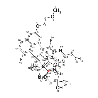 COCCOc1cc(-c2nc(OC)c3c(N4CCC[C@@](C)(O)C4)nc(SC)nc3c2F)c2c(C#C[Si](C(C)C)(C(C)C)C(C)C)c(F)ccc2c1